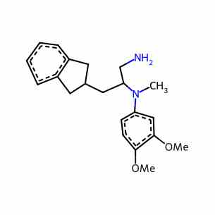 COc1ccc(N(C)C(CN)CC2Cc3ccccc3C2)cc1OC